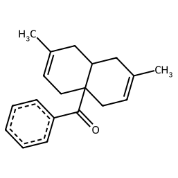 CC1=CCC2(C(=O)c3ccccc3)CC=C(C)CC2C1